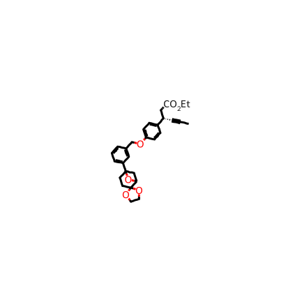 CC#C[C@@H](CC(=O)OCC)c1ccc(OCc2cccc(C34CCC5(OCCO5)C(C3)O4)c2)cc1